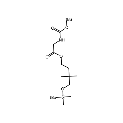 CC(C)(CCOC(=O)CNC(=O)OC(C)(C)C)CO[Si](C)(C)C(C)(C)C